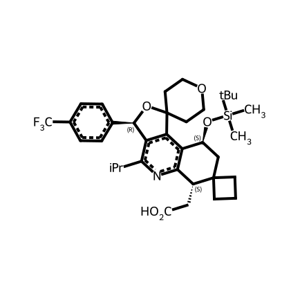 CC(C)c1nc2c(c3c1[C@@H](c1ccc(C(F)(F)F)cc1)OC31CCOCC1)[C@@H](O[Si](C)(C)C(C)(C)C)CC1(CCC1)[C@@H]2CC(=O)O